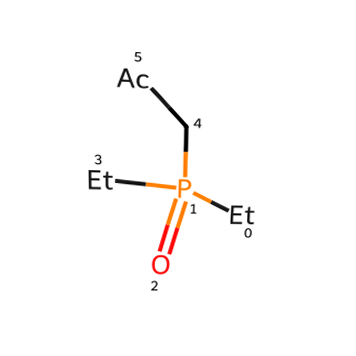 CCP(=O)(CC)CC(C)=O